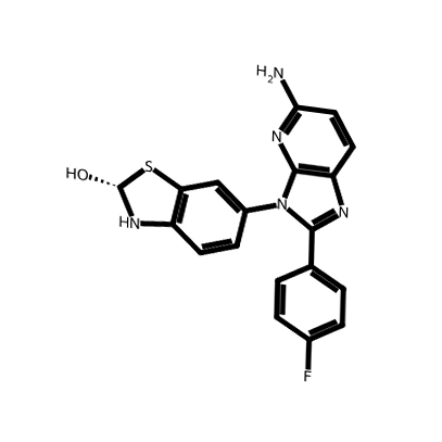 Nc1ccc2nc(-c3ccc(F)cc3)n(-c3ccc4c(c3)S[C@@H](O)N4)c2n1